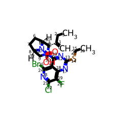 C=C(CC)[C@H]1[C@@H]2CC[C@H](CN1c1nc(SCC)nc3c(F)c(Cl)nc(Br)c13)N2C(=O)O